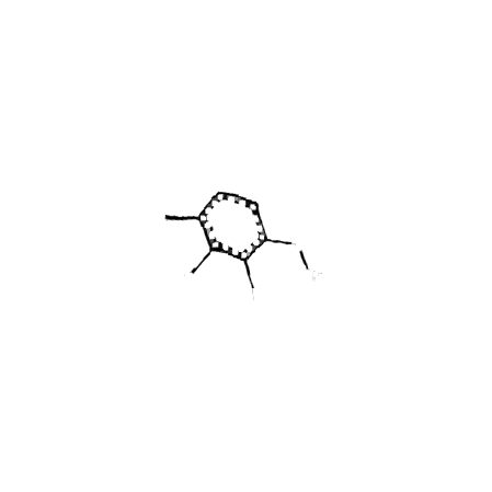 Cc1ccc(OC(C)C)c(F)c1F